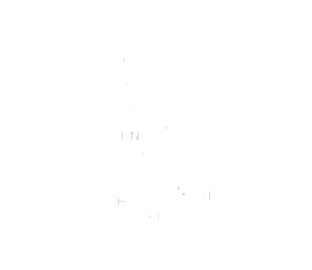 CCOc1ccc(C(=O)Nc2ccc3c(c2)CN(C)CC3(C)C)cc1Cl